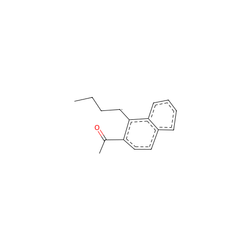 CCC[CH]c1c(C(C)=O)ccc2ccccc12